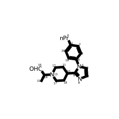 CCCc1ccc(-n2ccnc2C2CCN(C(C)C=O)CC2)cc1